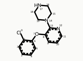 Clc1ccccc1Oc1cccnc1N1CCNCC1